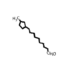 CC1CCC(CCCCCCCCCC=O)C1